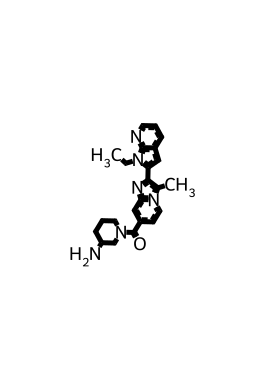 CCn1c(-c2nc3cc(C(=O)N4CCCC(N)C4)ccn3c2C)cc2cccnc21